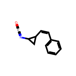 O=C=NC1CC1/C=C\c1ccccc1